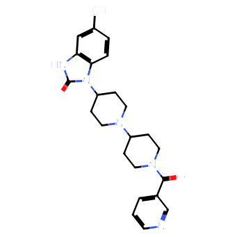 Cc1ccc2c(c1)[nH]c(=O)n2C1CCN(C2CCN(C(=O)c3cccnc3)CC2)CC1